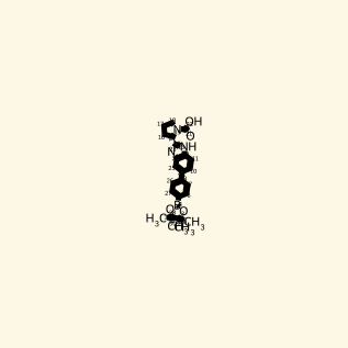 CC1(C)OB(c2ccc(-c3ccc4[nH]c([C@@H]5CCCN5C(=O)O)nc4c3)cc2)OC1(C)C